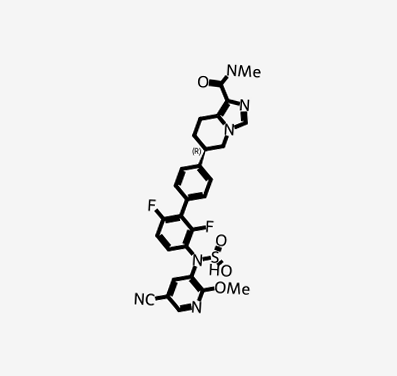 CNC(=O)c1ncn2c1CC[C@H](c1ccc(-c3c(F)ccc(N(c4cc(C#N)cnc4OC)[SH](=O)=O)c3F)cc1)C2